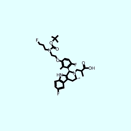 Cc1c(OCCN(CCCF)C(=O)OC(C)(C)C)ccc(F)c1[C@@H]1c2[nH]c3ccc(F)cc3c2C[C@@H](C)N1CC(C)C(=O)O